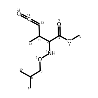 COC(=O)C(NOCC(C)C)C(C)C=C=O